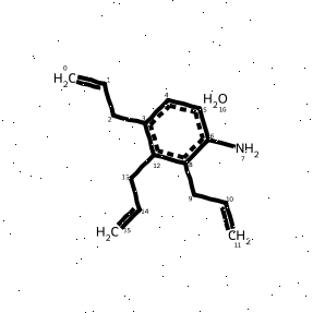 C=CCc1ccc(N)c(CC=C)c1CC=C.O